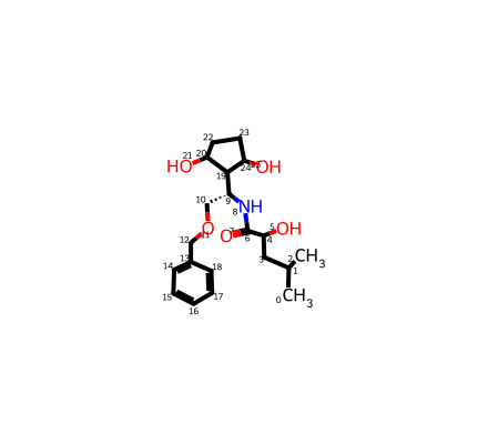 CC(C)CC(O)C(=O)N[C@H](COCc1ccccc1)C1C(O)CCC1O